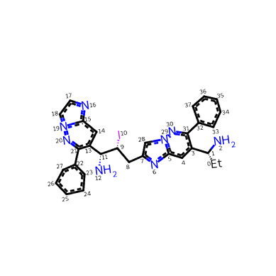 CC[C@@H](N)c1cc2nc(C[C@@H](I)[C@H](N)c3cc4nccn4nc3-c3ccccc3)cn2nc1-c1ccccc1